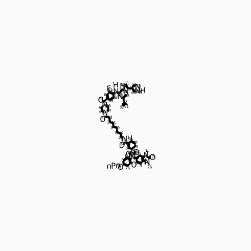 CCCOc1cccc(Oc2cc3c(cc2NS(=O)(=O)c2cccc(C(=O)NCCCCCCCCC(=O)N4CCN(C(=O)c5ccc(Nc6nc(C7CC7)cn7c(-c8cn[nH]c8)cnc67)c(F)c5)CC4)c2)n(C)c(=O)n3C)c1